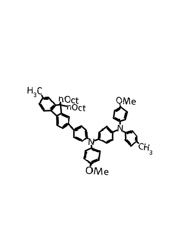 CCCCCCCCC1(CCCCCCCC)c2cc(C)ccc2-c2ccc(-c3ccc(N(c4ccc(OC)cc4)c4ccc(N(c5ccc(C)cc5)c5ccc(OC)cc5)cc4)cc3)cc21